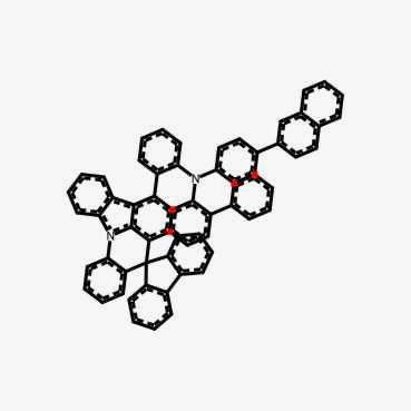 c1ccc(-c2ccccc2N(c2ccc(-c3ccc4ccccc4c3)cc2)c2ccccc2-c2ccc3c4c2c2ccccc2n4-c2ccccc2C32c3ccccc3-c3ccccc32)cc1